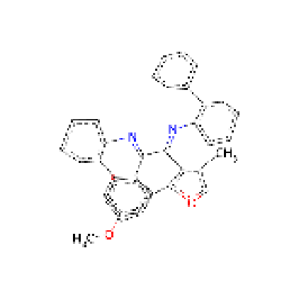 COc1ccc2c(c1)-c1occ(C)c1C(=N\c1ccccc1-c1ccccc1)/C2=N/c1ccccc1-c1ccccc1